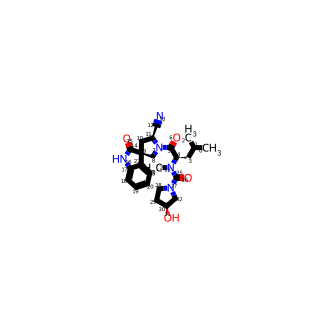 CC(C)C[C@@H](C(=O)N1C[C@]2(C[C@H]1C#N)C(=O)Nc1ccccc12)N(C)C(=O)N1CC[C@H](O)C1